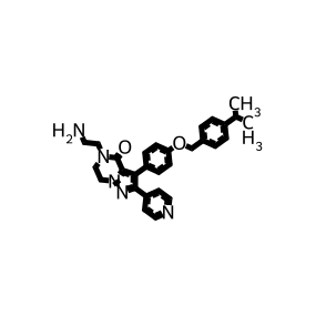 CC(C)c1ccc(COc2ccc(-c3c(-c4ccncc4)nn4c3C(=O)N(CCN)CC4)cc2)cc1